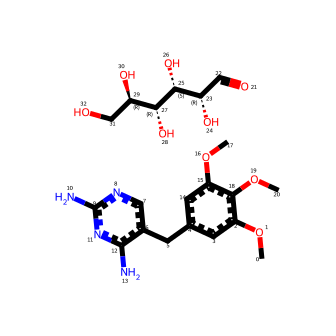 COc1cc(Cc2cnc(N)nc2N)cc(OC)c1OC.O=C[C@H](O)[C@@H](O)[C@H](O)[C@H](O)CO